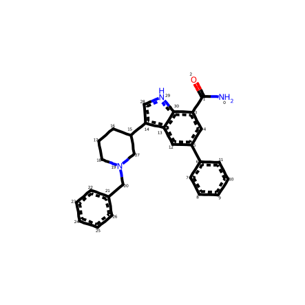 NC(=O)c1cc(-c2ccccc2)cc2c(C3CCCN(Cc4ccccc4)C3)c[nH]c12